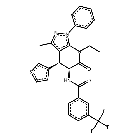 CCN1C(=O)[C@@H](NC(=O)c2cccc(C(F)(F)F)c2)[C@@H](c2ccsc2)c2c(C)nn(-c3ccccc3)c21